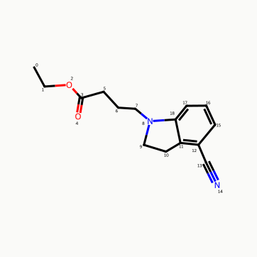 CCOC(=O)CCCN1CCc2c(C#N)cccc21